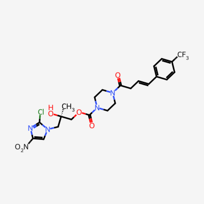 C[C@](O)(COC(=O)N1CCN(C(=O)C/C=C/c2ccc(C(F)(F)F)cc2)CC1)Cn1cc([N+](=O)[O-])nc1Cl